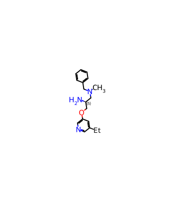 CCc1cncc(OC[C@@H](N)CN(C)Cc2ccccc2)c1